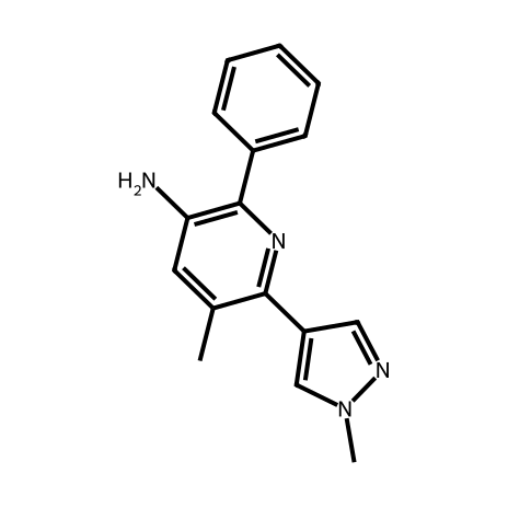 Cc1cc(N)c(-c2ccccc2)nc1-c1cnn(C)c1